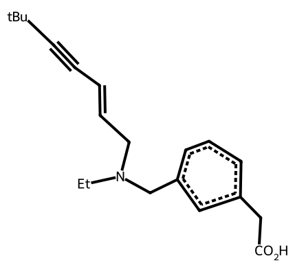 CCN(C/C=C/C#CC(C)(C)C)Cc1cccc(CC(=O)O)c1